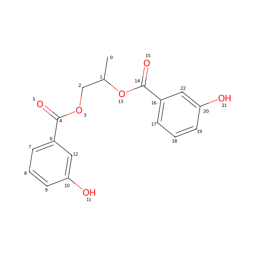 CC(COC(=O)c1cccc(O)c1)OC(=O)c1cccc(O)c1